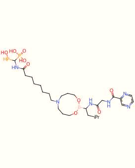 CC(C)CC(NC(=O)CNC(=O)c1cnccn1)B1OCCCN(CCCCCCCC(=O)NC(PO)P(=O)(O)O)CCCO1